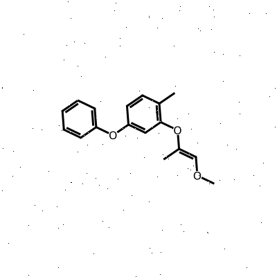 CO/C=C(\C)Oc1cc(Oc2ccccc2)ccc1C